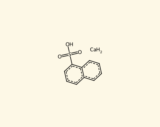 O=S(=O)(O)c1cccc2ccccc12.[CaH2]